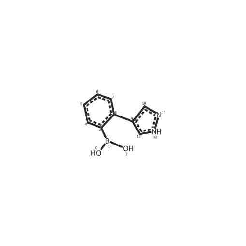 OB(O)c1ccccc1-c1cn[nH]c1